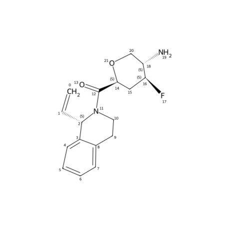 C=C[C@H]1c2ccccc2CCN1C(=O)[C@@H]1C[C@H](F)[C@@H](N)CO1